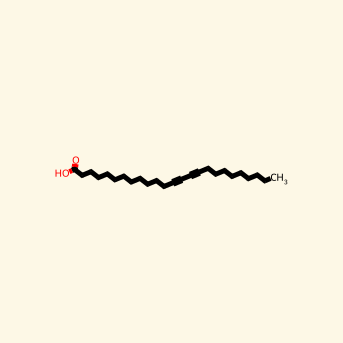 CCCCCCCCCC#CC#CCCCCCCCCCCCC(=O)O